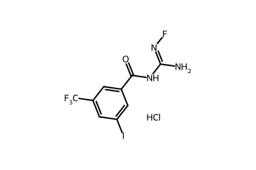 Cl.NC(=NF)NC(=O)c1cc(I)cc(C(F)(F)F)c1